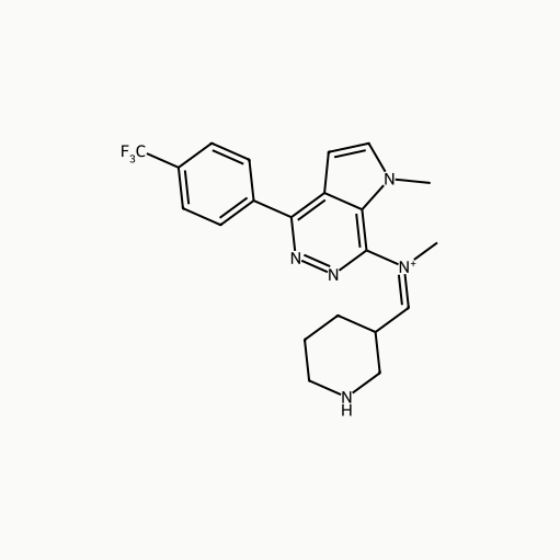 Cn1ccc2c(-c3ccc(C(F)(F)F)cc3)nnc(/[N+](C)=C\C3CCCNC3)c21